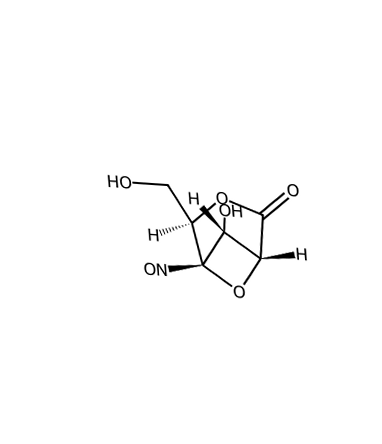 O=N[C@@]12O[C@@H](C(=O)O[C@@H]1CO)[C@H]2O